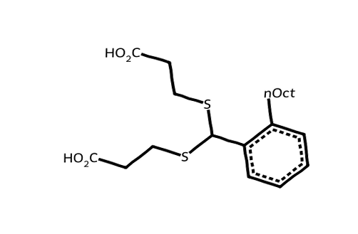 CCCCCCCCc1ccccc1C(SCCC(=O)O)SCCC(=O)O